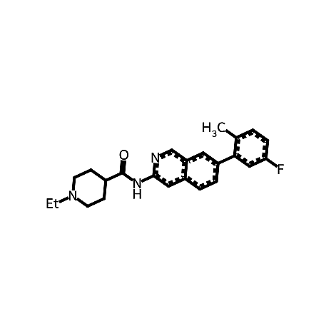 CCN1CCC(C(=O)Nc2cc3ccc(-c4cc(F)ccc4C)cc3cn2)CC1